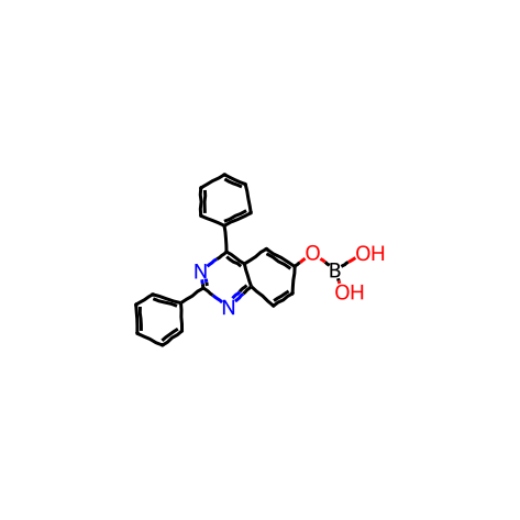 OB(O)Oc1ccc2nc(-c3ccccc3)nc(-c3ccccc3)c2c1